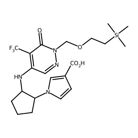 C[Si](C)(C)CCOCn1ncc(NC2CCCC2n2ccc(C(=O)O)c2)c(C(F)(F)F)c1=O